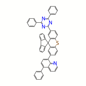 c1ccc(-c2nc(-c3ccccc3)nc(-c3ccc4c(c3)C3(c5cc(-c6ccc(-c7ccccc7)c7cccnc67)ccc5S4)c4ccccc4-c4ccccc43)n2)cc1